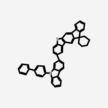 c1ccc(-c2ccc(-n3c4ccccc4c4ccc(-c5ccc6sc7cc8c(cc7c6c5)C5(CCCCC5)c5ccccc5-8)cc43)cc2)cc1